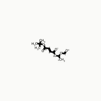 CC(OC=O)OC(=O)/C=C/C(=O)OC(C)(C)C